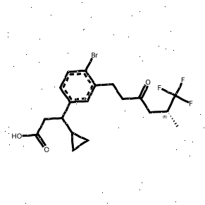 C[C@H](CC(=O)CCc1cc(C(CC(=O)O)C2CC2)ccc1Br)C(F)(F)F